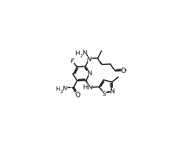 Cc1cc(Nc2nc(N(N)C(C)CCC=O)c(F)cc2C(N)=O)sn1